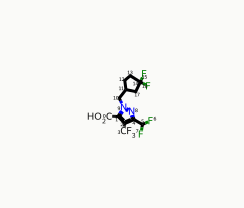 O=C(O)c1c(C(F)(F)F)c(C(F)F)nn1CC1CCC(F)(F)C1